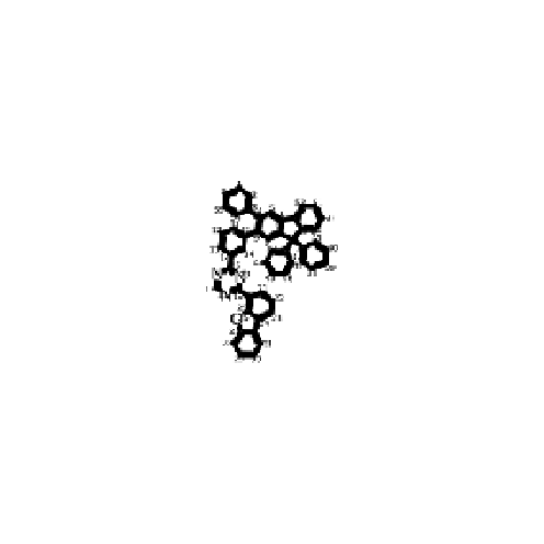 c1ccc(-c2cc3c(cc2-c2cccc(-c4ncnc(-c5cccc6c5oc5ccccc56)n4)c2)C(c2ccccc2)(c2ccccc2)c2ccccc2-3)cc1